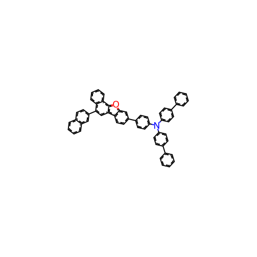 c1ccc(-c2ccc(N(c3ccc(-c4ccccc4)cc3)c3ccc(-c4ccc5c(c4)oc4c6ccccc6c(-c6ccc7ccccc7c6)cc54)cc3)cc2)cc1